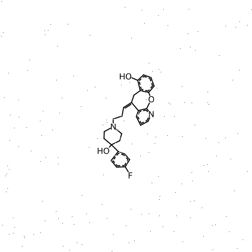 Oc1cccc2c1C/C(=C/CCN1CCC(O)(c3ccc(F)cc3)CC1)c1cccnc1O2